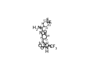 N[C@H](c1nc2cc([C@@H](CCl)N3C[C@@H](C(F)(F)F)NC3=O)ccc2o1)C1CCC(F)(F)CC1